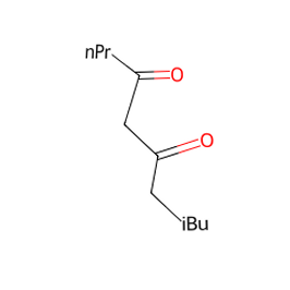 CCCC(=O)CC(=O)CC(C)CC